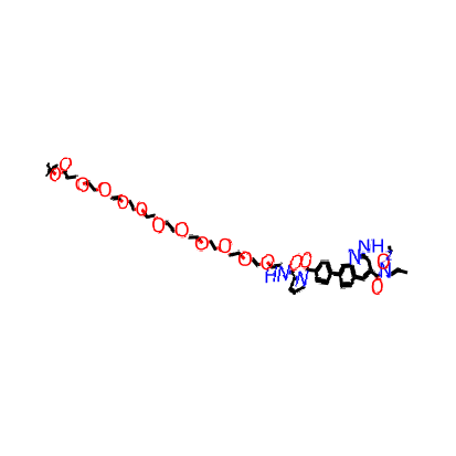 CCCN(OCC)C(=O)C1=Cc2ccc(-c3ccc(C(=O)N4CCC[C@H]4C(=O)NCCOCCOCCOCCOCCOCCOCCOCCOCCOCCOCCC(=O)OC(C)(C)C)cc3)cc2N=C(N)C1